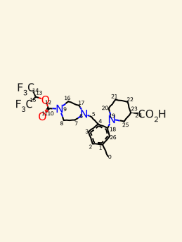 Cc1ccc(CN2CCN(C(=O)OC(C(F)(F)F)C(F)(F)F)CC2)c(N2CCC[C@@H](C(=O)O)C2)c1